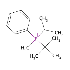 CC(C)[PH](C)(c1ccccc1)C(C)(C)C